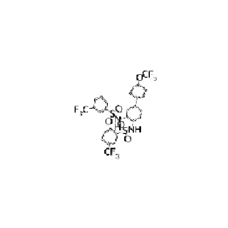 O=S(=O)(Nc1ccc(-c2ccc(OC(F)(F)F)cc2)cc1NS(=O)(=O)c1cccc(C(F)(F)F)c1)c1cccc(C(F)(F)F)c1